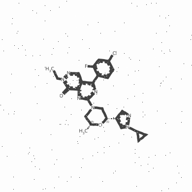 CCn1ncc2c(-c3ccc(Cl)cc3F)nc(N3C[C@@H](C)O[C@@H](c4cnn(C5CC5)c4)C3)nc2c1=O